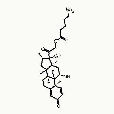 C[C@@H]1C[C@H]2[C@@H]3CCC4=CC(=O)C=C[C@]4(C)[C@@]3(F)[C@@H](O)C[C@]2(C)[C@@]1(O)C(=O)COC(=O)CCCCN